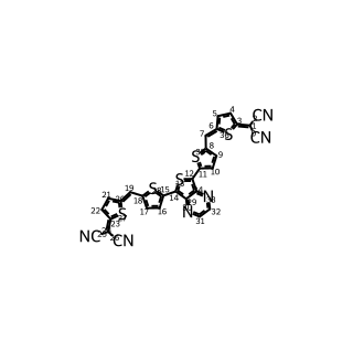 N#CC(C#N)=c1cc/c(=C/c2ccc(-c3sc(-c4ccc(/C=c5/ccc(=C(C#N)C#N)s5)s4)c4nccnc34)s2)s1